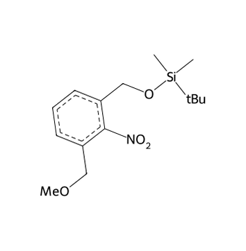 COCc1cccc(CO[Si](C)(C)C(C)(C)C)c1[N+](=O)[O-]